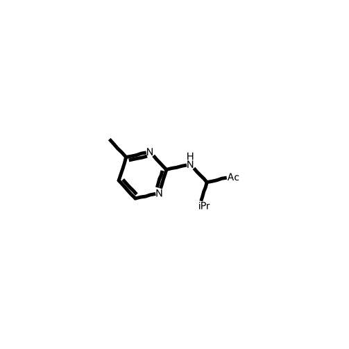 CC(=O)C(Nc1nccc(C)n1)C(C)C